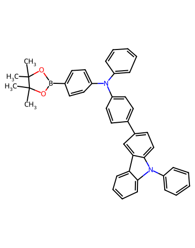 CC1(C)OB(c2ccc(N(c3ccccc3)c3ccc(-c4ccc5c(c4)c4ccccc4n5-c4ccccc4)cc3)cc2)OC1(C)C